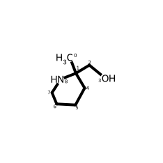 CC1(CO)CCCCN1